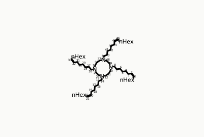 CCCCCC/C=C\CCCCCCN1CCCN(CCCCCC/C=C\CCCCCC)CCN(CCCCCC/C=C\CCCCCC)CCCN(CCCCCC/C=C\CCCCCC)CC1